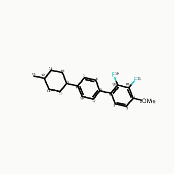 COc1ccc(-c2ccc(C3CCC(C)CC3)cc2)c(F)c1F